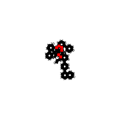 C=C/C=C\C1=C(C)C(c2ccccc2)(c2ccccc2)c2cccc(N(c3ccc(-c4ccc(-c5cccc6ccccc56)cc4)cc3)c3ccccc3-c3cccc4oc5ccccc5c34)c21